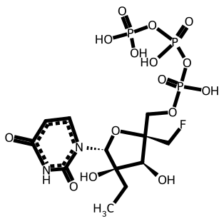 CC[C@@]1(O)[C@H](O)[C@@](CF)(COP(=O)(O)OP(=O)(O)OP(=O)(O)O)O[C@H]1n1ccc(=O)[nH]c1=O